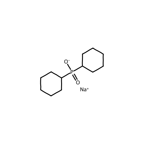 O=P([O-])(C1CCCCC1)C1CCCCC1.[Na+]